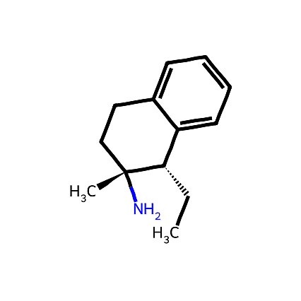 CC[C@H]1c2ccccc2CC[C@@]1(C)N